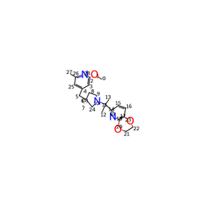 COc1cc(C[C@@]2(C)CCN(C(C)(C)c3ccc4c(n3)OCCO4)C2)cc(C)n1